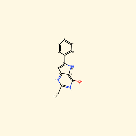 Oc1nc(C(F)(F)F)nc2cc(-c3ccccc3)[nH]c12